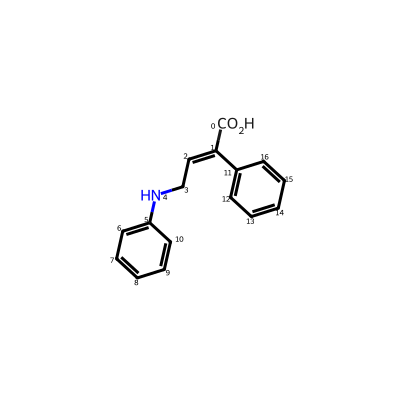 O=C(O)C(=CCNc1ccccc1)c1ccccc1